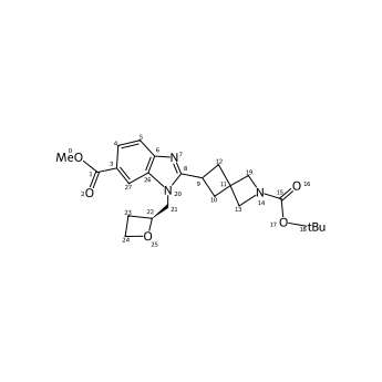 COC(=O)c1ccc2nc(C3CC4(C3)CN(C(=O)OC(C)(C)C)C4)n(C[C@@H]3CCO3)c2c1